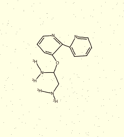 [2H]N([2H])CC(Oc1cccnc1-c1ccccn1)N([2H])[2H]